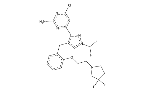 Nc1nc(Cl)cc(-c2nn(C(F)F)cc2Cc2ccccc2OCCN2CCC(F)(F)C2)n1